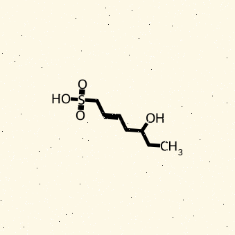 CCC(O)CC=CCS(=O)(=O)O